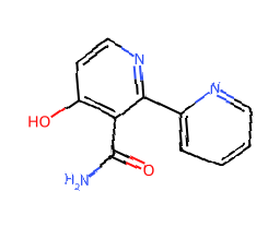 NC(=O)c1c(O)ccnc1-c1ccccn1